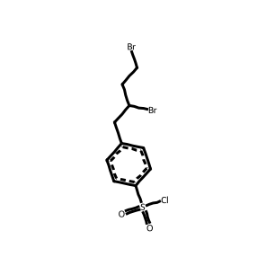 O=S(=O)(Cl)c1ccc(CC(Br)CCBr)cc1